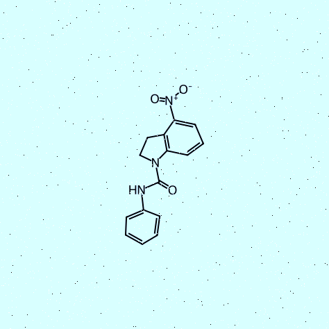 O=C(Nc1ccccc1)N1CCc2c1cccc2[N+](=O)[O-]